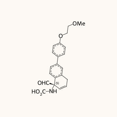 COCCOc1ccc(-c2ccc3c(c2)CC=C[C@]3(C=O)NC(=O)O)cc1